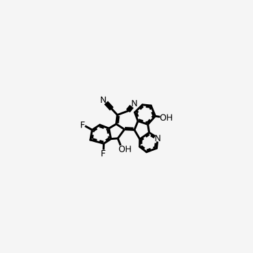 N#CC(C#N)=C1/C(=C2/c3cccnc3-c3c(O)cccc32)C(O)c2c(F)cc(F)cc21